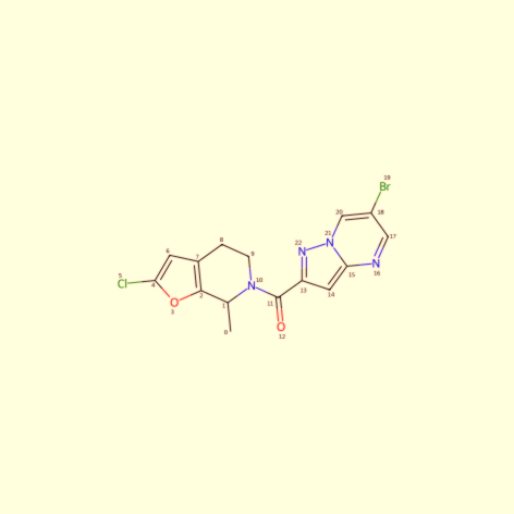 CC1c2oc(Cl)cc2CCN1C(=O)c1cc2ncc(Br)cn2n1